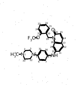 CN1CCN(c2ccc(Nc3ccc4ccc(=O)n(Cc5ccccc5OC(F)(F)F)c4c3)cc2)CC1